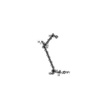 CC(C)Cc1ccc(CCCC(=O)NCCCCC(NC(=O)CCOCCOCCOCCOCCOCCOCCOCCOCCNC(=O)C(CCCCN)NC(=O)CCOCCOCCOCCNC(=O)OCc2ccccc2)C(=O)OC(C)(C)C)cc1